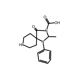 CC1N(C(=O)O)C(=O)C2(CCNCC2)N1c1ccccc1